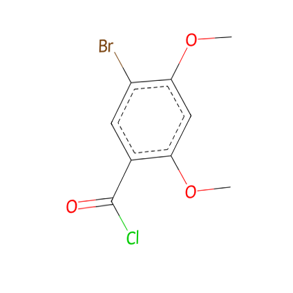 COc1cc(OC)c(C(=O)Cl)cc1Br